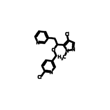 Cn1ncc(Cl)c1C(Cc1cccnc1)OCc1ccc(Cl)nc1